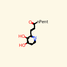 CCCCCC(=O)C=Cc1nccc(O)c1O